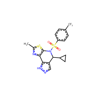 Cc1nc2c(s1)N(S(=O)(=O)c1ccc(C(F)(F)F)cc1)C(C1CC1)c1cn[nH]c1-2